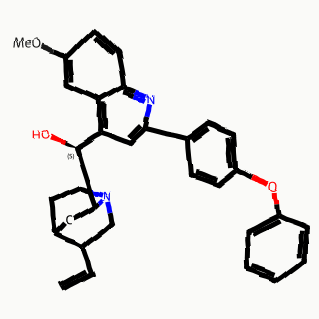 C=CC1CN2CCC1CC2[C@@H](O)c1cc(-c2ccc(Oc3ccccc3)cc2)nc2ccc(OC)cc12